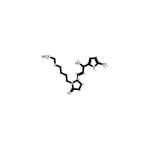 O=C(O)CSCCCCN1C(=O)CC[C@@H]1C=CC(O)c1ccc(C(F)(F)F)o1